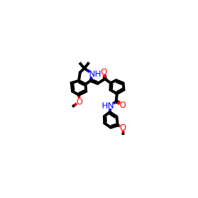 COc1cccc(NC(=O)c2cccc(C(=O)/C=C3\NC(C)(C)Cc4ccc(OC)cc43)c2)c1